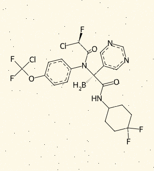 B[C@@](C(=O)NC1CCC(F)(F)CC1)(c1cncnc1)N(C(=O)[C@H](F)Cl)c1ccc(OC(F)(F)Cl)cc1